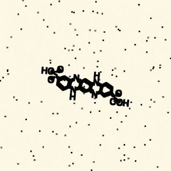 O=S(=O)(O)C1=CC2N=c3cc4c(cc3NC2C=C1)=Nc1cc(S(=O)(=O)O)ccc1N4